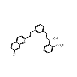 O=C(O)c1ccccc1[C@@H](O)CCc1cccc(/C=C/c2ccc3ccc(Cl)cc3n2)c1